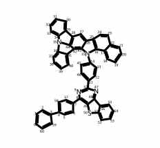 c1ccc(-c2ccc(-c3nc(-c4ccc(-n5c6c7ccccc7ccc6c6cc7c8ccccc8n8c9ccccc9c(c65)c78)cc4)nc4c3sc3ccccc34)cc2)cc1